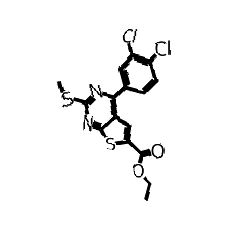 CCOC(=O)c1cc2c(-c3ccc(Cl)c(Cl)c3)nc(SC)nc2s1